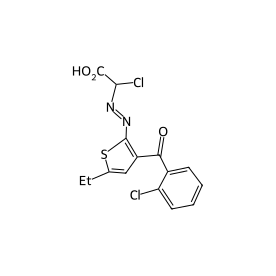 CCc1cc(C(=O)c2ccccc2Cl)c(/N=N/C(Cl)C(=O)O)s1